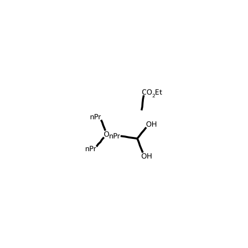 CCCC(O)O.CCCOCCC.CCOC(C)=O